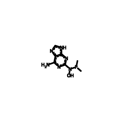 CP(C)N(O)c1nc(N)c2nc[nH]c2n1